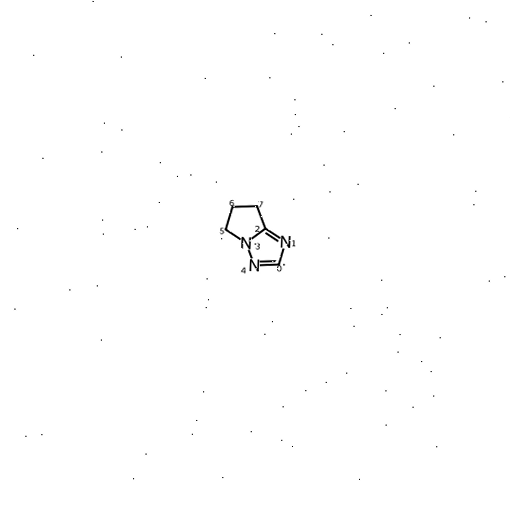 [c]1nc2n(n1)CCC2